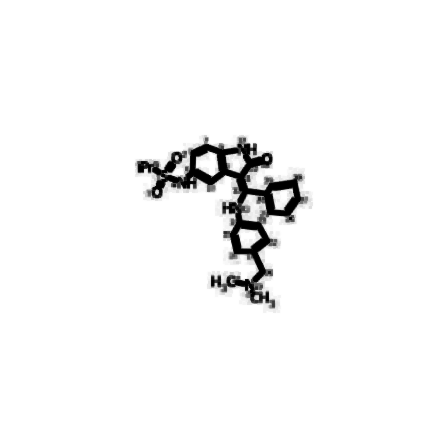 CC(C)S(=O)(=O)Nc1ccc2c(c1)C(=C(Nc1ccc(CN(C)C)cc1)c1ccccc1)C(=O)N2